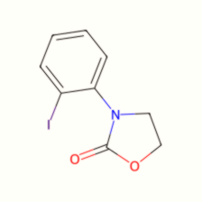 O=C1OCCN1c1ccccc1I